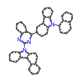 c1ccc2c(-n3c4ccccc4c4cc(-c5nc(-n6c7ccccc7c7c8ccccc8ccc76)nc6ccccc56)ccc43)cccc2c1